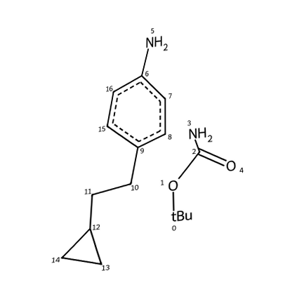 CC(C)(C)OC(N)=O.Nc1ccc(CCC2CC2)cc1